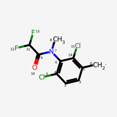 [CH2]c1ccc(Cl)c(N(C)C(=O)C(F)F)c1Cl